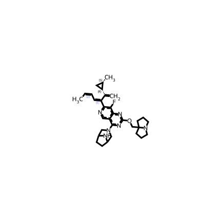 C=C(/C(=C\C=C/C)c1ncc2c(N3CC4CCC(C3)N4)nc(OCC34CCCN3CCC4)nc2c1F)[C@@H]1C[C@@H]1C